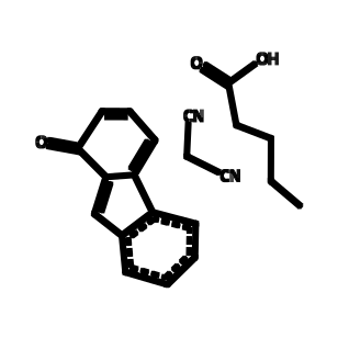 CCCCC(=O)O.N#CCC#N.O=C1C=CC=C2C1=Cc1ccccc12